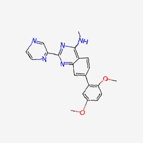 CNc1nc(-c2cnccn2)nc2cc(-c3cc(OC)ccc3OC)ccc12